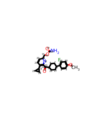 COc1ccc(C2CCC(C(=O)c3nc(COC(N)=O)ccc3C3CC3)CC2)c(F)c1